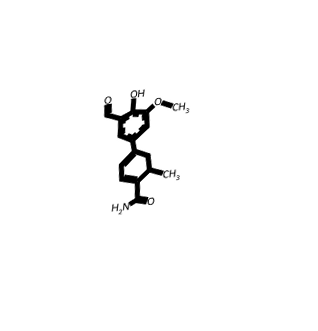 COc1cc(C2=CC=C(C(N)=O)C(C)C2)cc(C=O)c1O